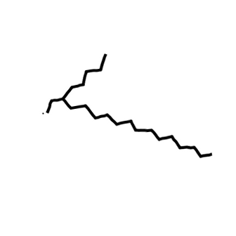 [CH2]CC(CCCCC)CCCCCCCCCCCCCC